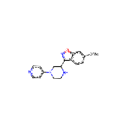 COc1ccc2c(C3CN(c4ccncc4)CCN3)noc2c1